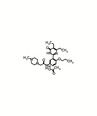 CC(=O)O.CCCOc1ccc(NC(=O)CN2CCN(C)CC2)cc1-c1nc(CC)c(CC)c(=O)[nH]1